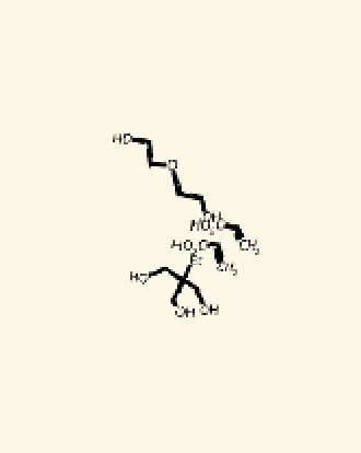 C=CC(=O)O.C=CC(=O)O.CCC(CO)(CO)CO.OCCOCCO